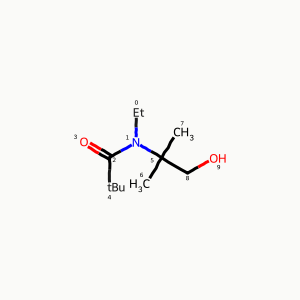 CCN(C(=O)C(C)(C)C)C(C)(C)CO